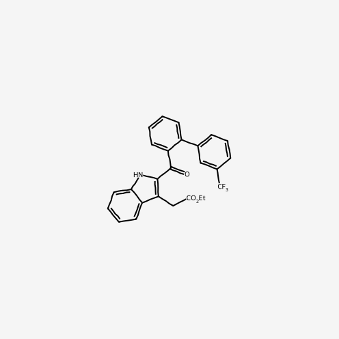 CCOC(=O)Cc1c(C(=O)c2ccccc2-c2cccc(C(F)(F)F)c2)[nH]c2ccccc12